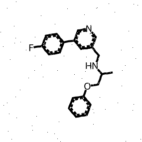 CC(COc1ccccc1)NCc1cncc(-c2ccc(F)cc2)c1